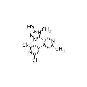 Cc1cc(-c2cc(Cl)nc(Cl)c2)c(-c2nnc(S)n2C)cn1